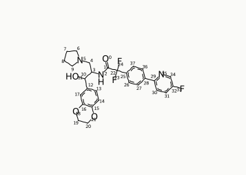 O=C(NC(CN1CCCC1)C(O)c1ccc2c(c1)OCCO2)C(F)(F)c1ccc(-c2ccc(F)cn2)cc1